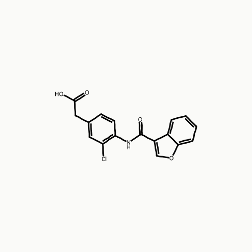 O=C(O)Cc1ccc(NC(=O)c2coc3ccccc23)c(Cl)c1